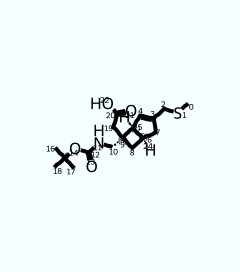 CSCC1=C[C@H]2[C@@H](C1)C[C@@]2(CNC(=O)OC(C)(C)C)CC(=O)O